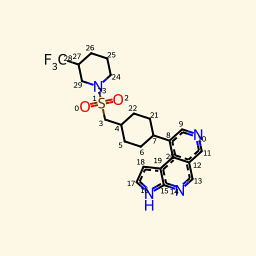 O=S(=O)(CC1CCC(c2cncc3cnc4[nH]ccc4c23)CC1)N1CCCC(C(F)(F)F)C1